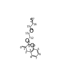 C=C(Cc1ccccc1)C(=O)OCCOCC=S